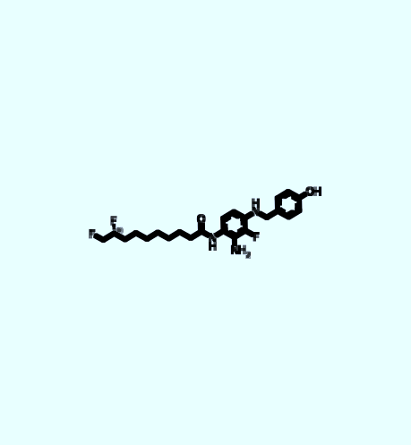 Nc1c(NC(=O)CCCCCCC[C@@H](F)CF)ccc(NCc2ccc(O)cc2)c1F